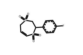 O=S1(=O)CC=CS(=O)(=O)C(c2ccc(F)cc2)C1